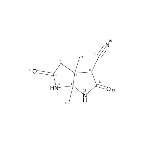 CC12NC(=O)CC1(C)C(C#N)C(=O)N2